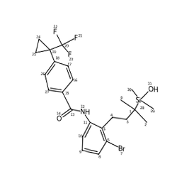 CC(C)(CCc1c(Br)cccc1NC(=O)c1ccc(C2(C(F)(F)F)CC2)cc1)[Si](C)(C)O